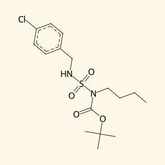 CCCCN(C(=O)OC(C)(C)C)S(=O)(=O)NCc1ccc(Cl)cc1